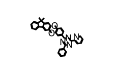 CC1(C)c2ccccc2-c2cc3c(cc21)Oc1ccc(-c2nc(-c4ccccc4)nc(-c4ccccn4)n2)cc1O3